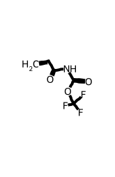 C=CC(=O)NC(=O)OC(F)(F)F